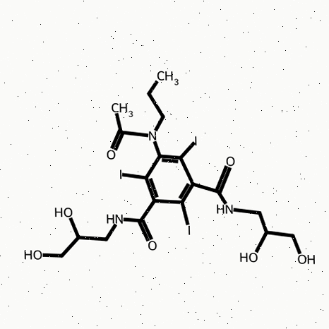 CCCN(C(C)=O)c1c(I)c(C(=O)NCC(O)CO)c(I)c(C(=O)NCC(O)CO)c1I